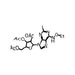 CCONc1nc(I)nc2c1ncn2C1OC(COC(C)=O)C(OC(C)=O)C1OC(C)=O